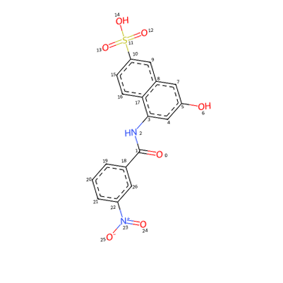 O=C(Nc1cc(O)cc2cc(S(=O)(=O)O)ccc12)c1cccc([N+](=O)[O-])c1